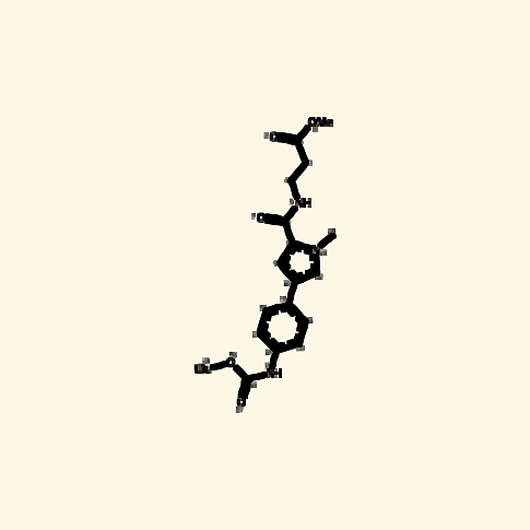 COC(=O)CCNC(=O)c1cc(-c2ccc(NC(=O)OC(C)(C)C)cc2)cn1C